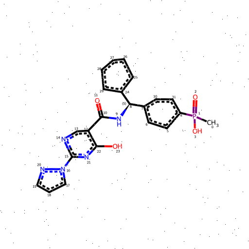 CP(=O)(O)c1ccc([C@@H](NC(=O)c2cnc(-n3cccn3)nc2O)c2ccccc2)cc1